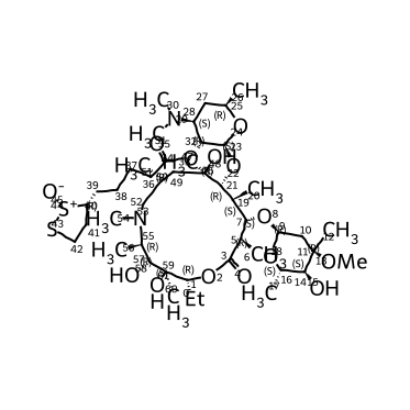 CC[C@H]1OC(=O)[C@H](C)[C@@H](O[C@H]2C[C@@](C)(OC)[C@@H](O)[C@H](C)O2)[C@H](C)[C@@H](O[C@@H]2O[C@H](C)C[C@H](N(C)C)[C@H]2OC(=O)CCCC[C@@H]2CCS[S+]2[O-])[C@](C)(O)C[C@@H](C)CN(C)[C@H](C)[C@@H](O)[C@]1(C)O